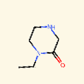 C[CH]N1CCNCC1=O